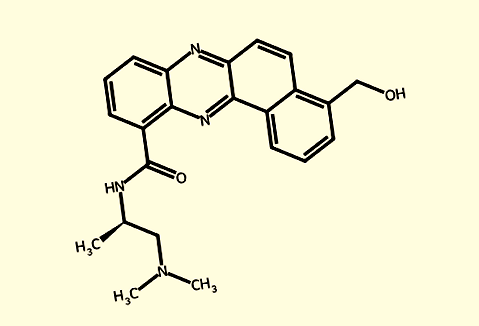 C[C@H](CN(C)C)NC(=O)c1cccc2nc3ccc4c(CO)cccc4c3nc12